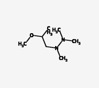 COC(C)CN(C)N(C)C